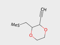 C#CC1OCCOC1CSC